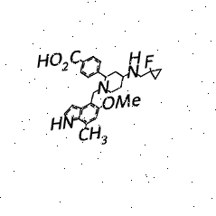 COc1cc(C)c2[nH]ccc2c1CN1CCC(NCC2(F)CC2)CC1c1ccc(C(=O)O)cc1